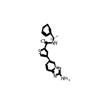 C[C@H](NC(=O)c1cc(-c2ccc3nc(N)nn3c2)cs1)c1ccccc1